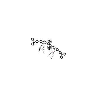 CCCCCCCCC1(CCCCCCCC)c2cc(-c3ccc(N(c4ccccc4)c4ccccc4)cc3)ccc2-c2ccc(-c3cc4c(cc(-c5ccc6c(c5)C(CCCCCCCC)(CCCCCCCC)c5cc(-c7ccc(N(c8ccccc8)c8ccccc8)cc7)ccc5-6)c5nsnc54)c4nsnc34)cc21